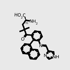 CC(C)(C[C@H](N)C(=O)O)C(=O)c1cccc(N=Cc2c[nH]cn2)c1-c1cccc2ccccc12